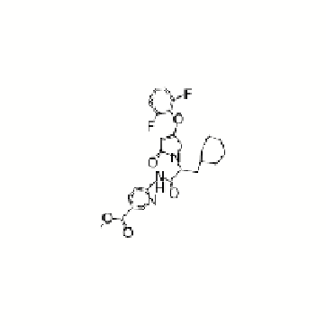 COC(=O)c1ccc(NC(=O)C(CC2CCCCC2)N2CC(Oc3c(F)cccc3F)=CC2=O)nc1